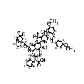 COc1ccc(CN(Cc2ccc(OC)cc2)c2cc(C)c(C(F)(F)F)c(-c3cc4nc(OC[C@]56CCCN5CC(F)(F)C6)nc5c4c(c3Cl)OCCN5Cc3cccnc3NC(=O)O)n2)cc1